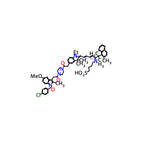 CCN1/C(=C/C=C/C=C/C(=N\CCCCS(=O)(=O)O)C(C)(C)c2c(C)ccc3ccccc23)C(C)(C)c2cc(CC(=O)N3CCN(C(=O)Cc4c(C)n(C(=O)c5ccc(Cl)cc5)c5ccc(OC)cc45)CC3)ccc21